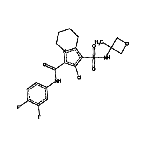 CC1(NS(=O)(=O)c2c(Cl)c(C(=O)Nc3ccc(F)c(F)c3)n3c2CCCC3)COC1